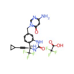 Nc1cc(=O)n(Cc2ccc3c(c2)NC(=O)N[C@]3(C#CC2CC2)C(F)(F)F)cn1.O=C(O)C(F)(F)F